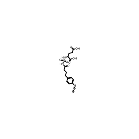 [N-]=[N+]=Nc1ccc(CCCC(=O)NS(=O)(=O)NC(CCC(=O)O)C(=O)O)cc1